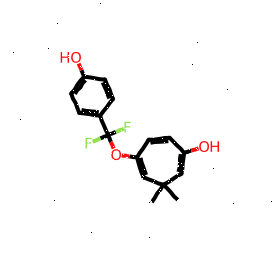 CC1(C)C=C(O)C=CC(OC(F)(F)c2ccc(O)cc2)=C1